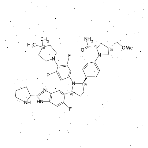 COC[C@H]1C[C@@H](C(N)=O)N(c2ccc([C@H]3CC[C@H](c4cc5nc(C6CCCN6)[nH]c5cc4F)N3c3cc(F)c(N4CC[Si](C)(C)CC4)c(F)c3)cc2)C1